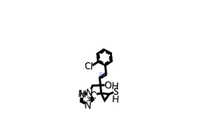 CC1(C(O)(/C=C/c2ccccc2Cl)Cn2cncn2)CC1S